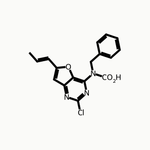 C/C=C/c1cc2nc(Cl)nc(N(Cc3ccccc3)C(=O)O)c2o1